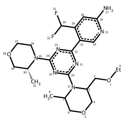 CCOCC1COCC(C)N1c1nc(-c2cnc(N)cc2C(F)F)nc(N2CCOC[C@H]2C)n1